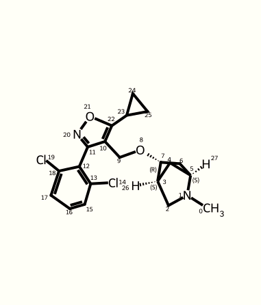 CN1C[C@@H]2C[C@H]1C[C@H]2OCc1c(-c2c(Cl)cccc2Cl)noc1C1CC1